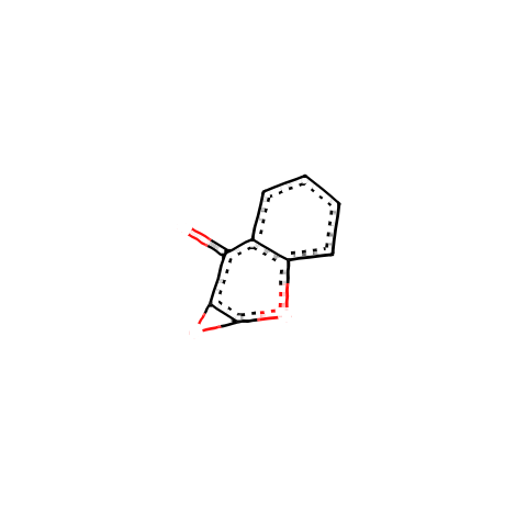 O=c1c2c(oc3ccccc13)O2